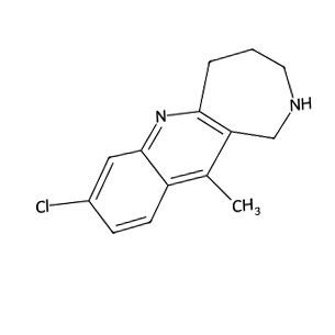 Cc1c2c(nc3cc(Cl)ccc13)CCCNC2